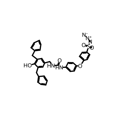 [N-]=[N+]=NS(=O)(=O)c1ccc(Oc2ccc(NC(=O)NCc3cc(Cc4ccccc4)c(O)c(Cc4ccccc4)c3)cc2)cc1